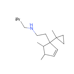 CC(C)CNCCC1(C2(C)CC2)C=CC(C)C1C